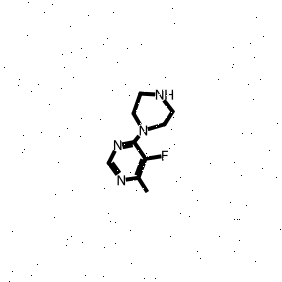 Cc1ncnc(N2CCNCC2)c1F